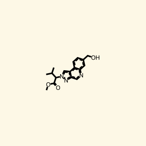 COC(=O)C(C(C)C)n1cc2c(cnc3cc(CO)ccc32)n1